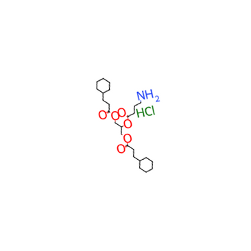 Cl.NCCCC(=O)OC(COC(=O)CCC1CCCCC1)COC(=O)CCC1CCCCC1